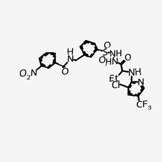 CCC(Nc1ncc(C(F)(F)F)cc1Cl)C(=O)NNS(=O)(=O)c1cccc(CNC(=O)c2cccc([N+](=O)[O-])c2)c1